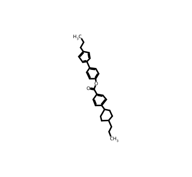 CCCc1ccc(-c2ccc(OC(=O)c3ccc(C4CCC(CCC)CC4)cc3)cc2)cc1